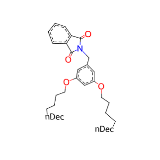 CCCCCCCCCCCCCCOc1cc(CN2C(=O)c3ccccc3C2=O)cc(OCCCCCCCCCCCCCC)c1